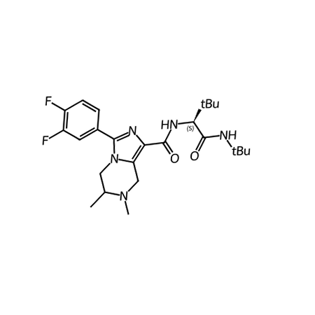 CC1Cn2c(-c3ccc(F)c(F)c3)nc(C(=O)N[C@H](C(=O)NC(C)(C)C)C(C)(C)C)c2CN1C